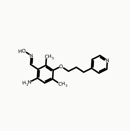 Cc1cc(N)c(C=NO)c(C)c1OCCCc1ccncc1